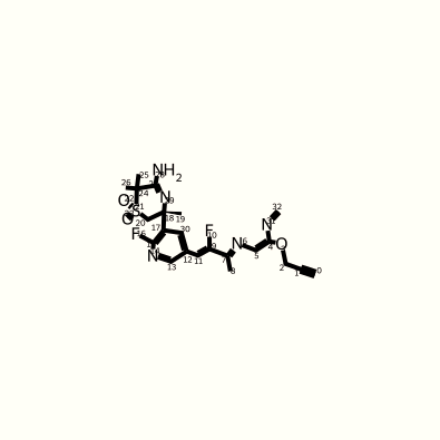 C#CCO/C(=C/N=C(C)/C(F)=C/c1cnc(F)c([C@]2(C)CS(=O)(=O)C(C)(C)C(N)=N2)c1)N=C